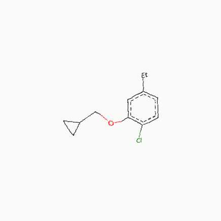 CCc1ccc(Cl)c(OCC2CC2)c1